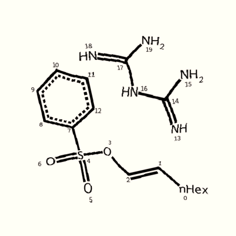 CCCCCCC=COS(=O)(=O)c1ccccc1.N=C(N)NC(=N)N